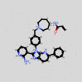 C=CC(=O)N[C@H]1CCCN(Cc2ccc(-n3c(-c4cccnc4N)nc4ccc(-c5ccccc5)nc43)cc2)CC1